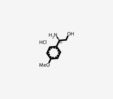 COc1ccc([C@@H](N)CO)cc1.Cl